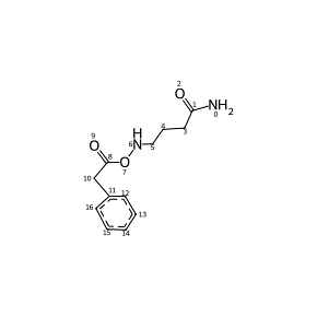 NC(=O)CCCNOC(=O)Cc1ccccc1